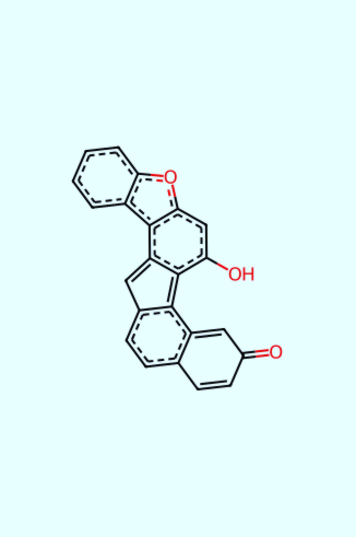 O=C1C=Cc2ccc3c(c2=C1)=c1c(O)cc2oc4ccccc4c2c1=C3